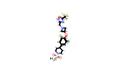 CS(=O)(=O)N1CCC(c2cc(F)c(OC3CN(Cc4noc(C(F)(F)F)n4)C3)c(F)c2)CC1